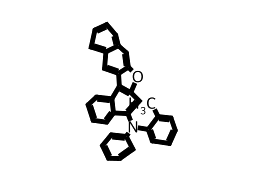 Cc1ccccc1N(c1ccccc1)c1cc2oc3cc4ccccc4cc3c2c2ccccc12